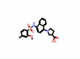 COc1cc(C)ccc1S(=O)(=O)Nc1ccc(N2CCC(C(=O)O)C2)c2ccccc12